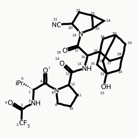 CC(C)[C@@H](NC(=O)C(F)(F)F)C(=O)N1CCCC1C(=O)NC(C(=O)N1C(C#N)CC2CC21)C12CC3CC(CC(O)(C3)C1)C2